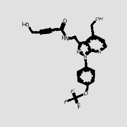 O=C(C#CCO)NCc1nn(-c2ccc(OC(F)(F)F)cc2)c2nccc(CO)c12